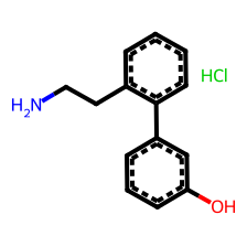 Cl.NCCc1ccccc1-c1cccc(O)c1